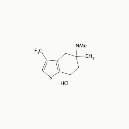 CNC1(C)CCc2scc(C(F)(F)F)c2C1.Cl